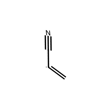 C=[C]C#N